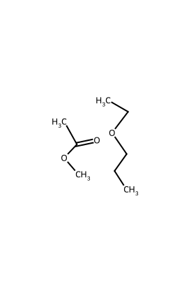 CCCOCC.COC(C)=O